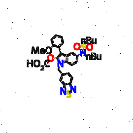 CCCCN(c1ccc2c(c1)c(-c1ccccc1OC)c(OC(=O)O)n2Cc1ccc2nsnc2c1)S(=O)(=O)CCCC